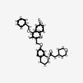 Cc1c(COc2ccc3c(c2)N(C(=O)CC2CCOCC2)CCC3)nc2ccc(F)cc2c1OCc1ccccc1